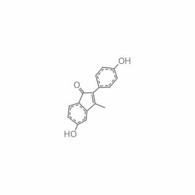 CC1=C(c2ccc(O)cc2)C(=O)c2ccc(O)cc21